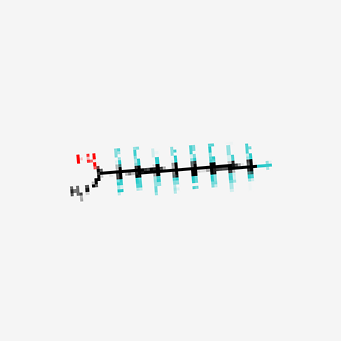 OC([SiH3])C(F)(F)C(F)(F)C(F)(F)C(F)(F)C(F)(F)C(F)(F)C(F)(F)C(F)(F)F